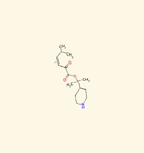 CC(C)/C=C\C(=O)C(=O)OC(C)(C)C1CCNCC1